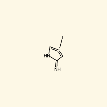 N=C1C=I(I)=CN1